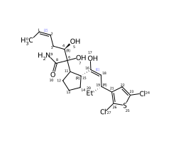 C/C=C\C[C@@H](O)C(O)(C(N)=O)C1CCC[C@H]1/C(O)=C\[C@@H](CC)c1cc(Cl)sc1Cl